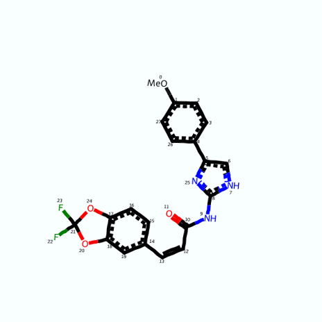 COc1ccc(-c2c[nH]c(NC(=O)/C=C\c3ccc4c(c3)OC(F)(F)O4)n2)cc1